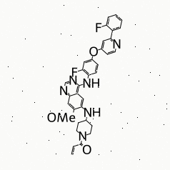 C=CC(=O)N1CCC(Nc2cc3c(Nc4ccc(Oc5ccnc(-c6ccccc6F)c5)cc4F)ncnc3cc2OC)CC1